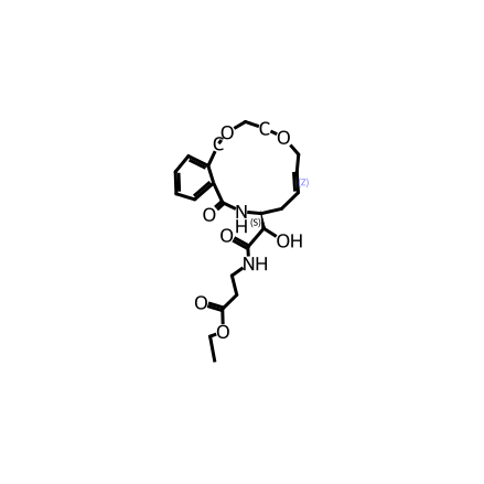 CCOC(=O)CCNC(=O)C(O)[C@@H]1C/C=C\COCCOCc2ccccc2C(=O)N1